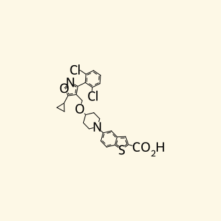 O=C(O)c1cc2cc(N3CCC(OCc4c(-c5c(Cl)cccc5Cl)noc4C4CC4)CC3)ccc2s1